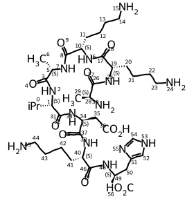 CC(C)[C@H](NC(=O)[C@H](C)NC(=O)[C@H](CCCCN)NC(=O)[C@H](CCCCN)NC(=O)[C@H](C)N)C(=O)N[C@@H](CC(=O)O)C(=O)N[C@@H](CCCCN)C(=O)N[C@@H](Cc1c[nH]cn1)C(=O)O